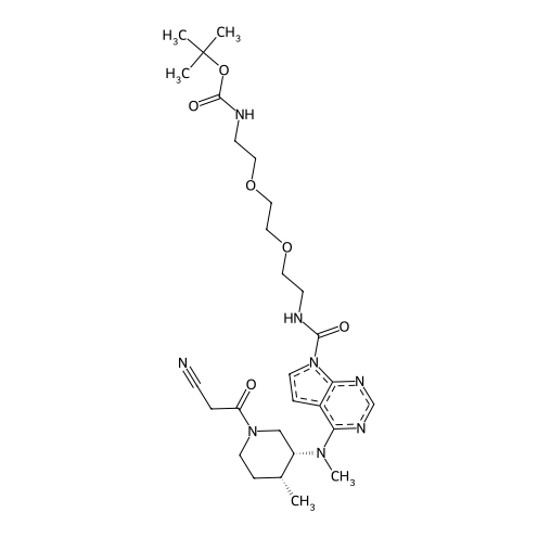 C[C@@H]1CCN(C(=O)CC#N)C[C@@H]1N(C)c1ncnc2c1ccn2C(=O)NCCOCCOCCNC(=O)OC(C)(C)C